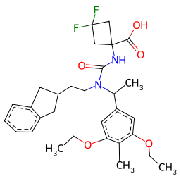 CCOc1cc(C(C)N(CCC2Cc3ccccc3C2)C(=O)NC2(C(=O)O)CC(F)(F)C2)cc(OCC)c1C